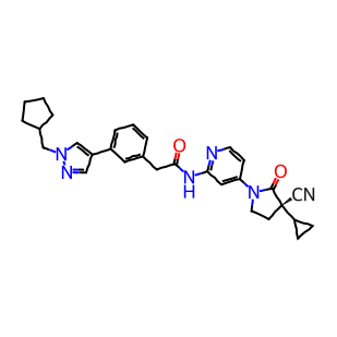 N#C[C@@]1(C2CC2)CCN(c2ccnc(NC(=O)Cc3cccc(-c4cnn(CC5CCCC5)c4)c3)c2)C1=O